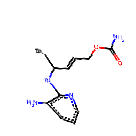 CC(C)(C)C(C=CCOC(N)=O)Nc1ncccc1N